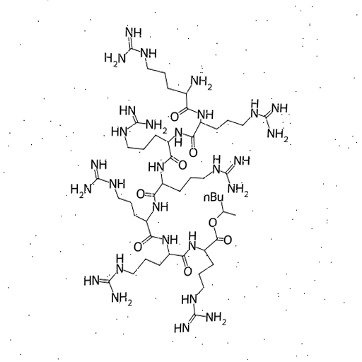 CCCCC(C)OC(=O)C(CCCNC(=N)N)NC(=O)C(CCCNC(=N)N)NC(=O)C(CCCNC(=N)N)NC(=O)C(CCCNC(=N)N)NC(=O)C(CCCNC(=N)N)NC(=O)C(CCCNC(=N)N)NC(=O)C(N)CCCNC(=N)N